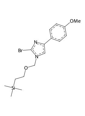 COc1ccc(-c2cn(COCC[Si](C)(C)C)c(Br)n2)cc1